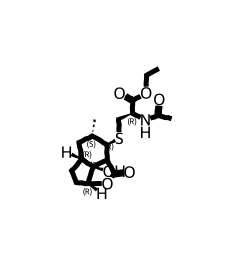 CCOC(=O)[C@H](CS[C@H]1C2C(=O)O[C@@H]3CC[C@H](C[C@@H]1C)[C@]23O)NC(C)=O